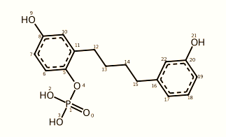 O=P(O)(O)Oc1ccc(O)cc1CCCCc1cccc(O)c1